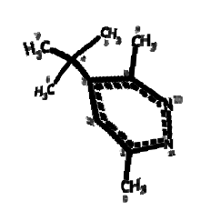 Cc1cc(C(C)(C)C)c(C)nn1